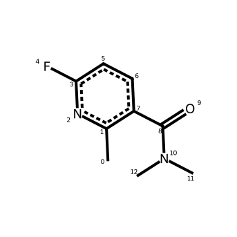 Cc1nc(F)ccc1C(=O)N(C)C